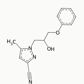 Cc1cc(C#N)nn1CC(O)COc1ccccc1